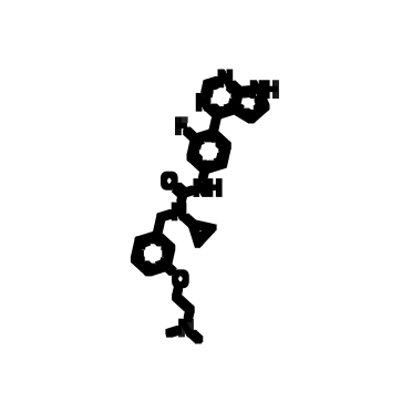 CN(C)CCOc1cccc(CN(C(=O)Nc2ccc(-c3ncnc4[nH]ccc34)c(F)c2)C2CC2)c1